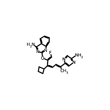 C\C(=C/C=C(\C(=C\F)Oc1nc(N)c2ccccc2n1)C1CCC1)c1cnc(N)cn1